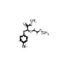 COCCOC(Cc1ccc(O)cc1)C(=O)OC